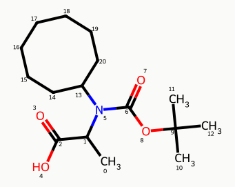 CC(C(=O)O)N(C(=O)OC(C)(C)C)C1CCCCCCC1